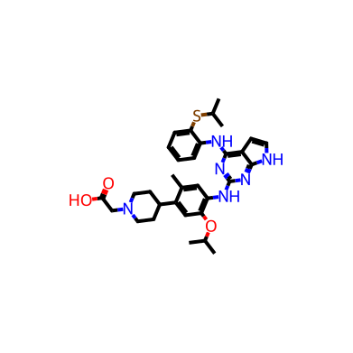 Cc1cc(Nc2nc(Nc3ccccc3SC(C)C)c3cc[nH]c3n2)c(OC(C)C)cc1C1CCN(CC(=O)O)CC1